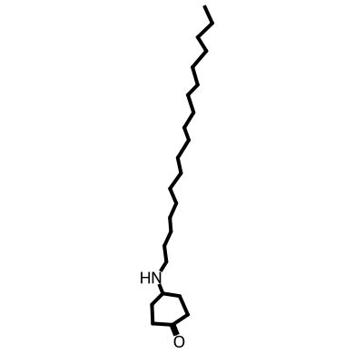 CCCCCCCCCCCCCCCCCCNC1CCC(=O)CC1